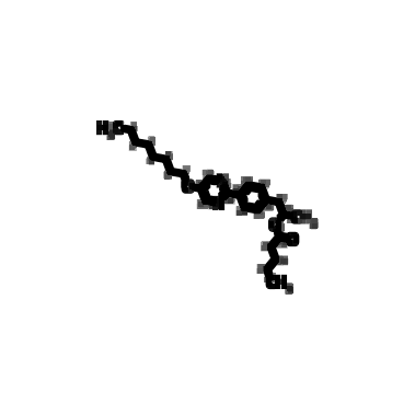 CCCCCCCCOc1cnc(-c2ccc(CC(C)OC(=O)CCCC)cc2)nc1